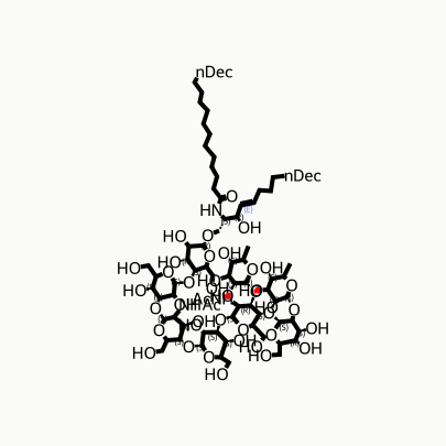 CCCCCCCCCCCCC/C=C/[C@@H](O)[C@H](CO[C@@H]1OC(CO)[C@@H](O[C@@H]2OC(CO)[C@H](O)[C@H](O[C@@H]3OC(CO)[C@@H](O[C@@H]4OC(CO)[C@H](O)[C@H](O[C@@H]5OC(CO)[C@@H](O[C@@H]6OC(CO)[C@H](O)[C@H](O)C6O[C@H]6OC(C)[C@@H](O)C(O)[C@@H]6O)[C@H](O[C@H]6OC(C)[C@@H](O)C(O)[C@@H]6O)C5NC(C)=O)C4O)[C@H](O)C3NC(C)=O)C2O)[C@H](O)C1O)NC(=O)CCCCCCCCCCCCCCCCCCCCC